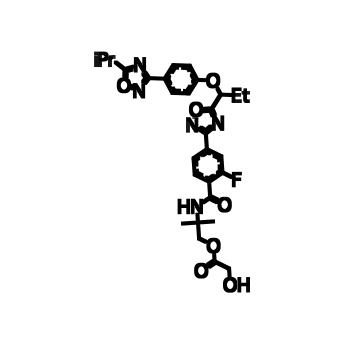 CCC(Oc1ccc(-c2noc(C(C)C)n2)cc1)c1nc(-c2ccc(C(=O)NC(C)(C)COC(=O)CO)c(F)c2)no1